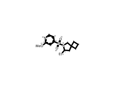 CCC1CC2(CCC2)CN1S(=O)(=O)c1ccnc(OC)c1